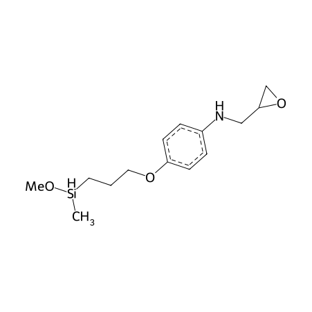 CO[SiH](C)CCCOc1ccc(NCC2CO2)cc1